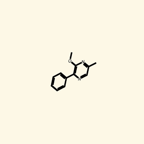 COc1nc(C)cnc1-c1ccccc1